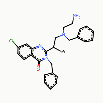 CC(C)C(CN(CCN)Cc1ccccc1)c1nc2cc(Cl)ccc2c(=O)n1Cc1ccccc1